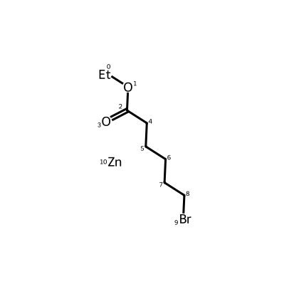 CCOC(=O)CCCCCBr.[Zn]